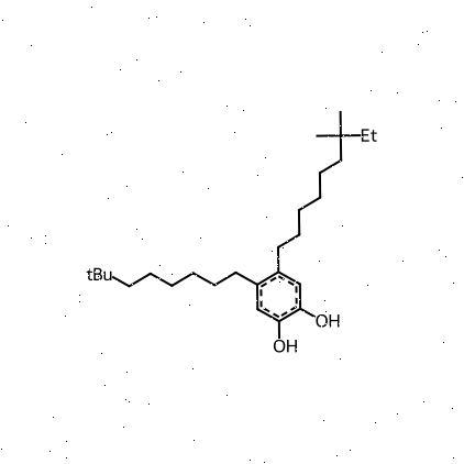 CCC(C)(C)CCCCCCc1cc(O)c(O)cc1CCCCCCC(C)(C)C